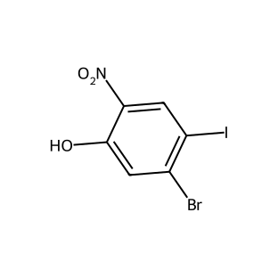 O=[N+]([O-])c1cc(I)c(Br)cc1O